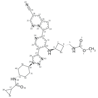 COC(=O)NC[C@H]1C[C@H](Nc2cc(-c3ccc4cc(C#N)cnn34)ncc2-c2cn([C@H]3CC[C@H](NC(=O)C4CC4)CC3)nn2)C1